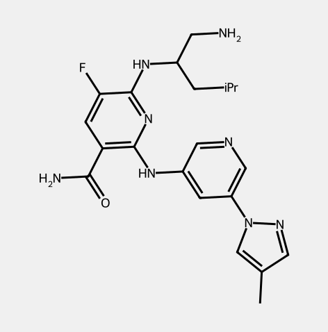 Cc1cnn(-c2cncc(Nc3nc(NC(CN)CC(C)C)c(F)cc3C(N)=O)c2)c1